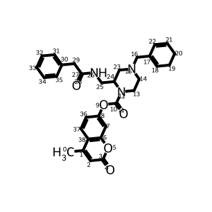 Cc1cc(=O)oc2cc(OC(=O)N3CCN(CC4=CCCC=C4)CC3CNC(=O)Cc3ccccc3)ccc12